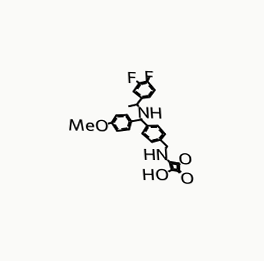 COc1ccc(C(NC(C)c2ccc(F)c(F)c2)c2ccc(CNc3c(O)c(=O)c3=O)cc2)cc1